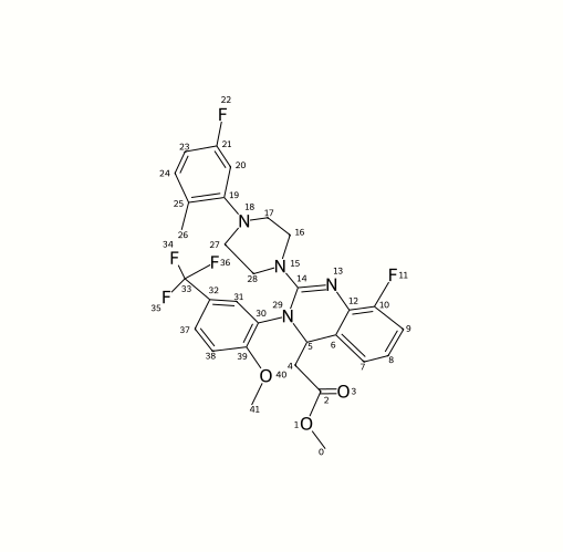 COC(=O)CC1c2cccc(F)c2N=C(N2CCN(c3cc(F)ccc3C)CC2)N1c1cc(C(F)(F)F)ccc1OC